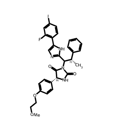 COCCOc1ccc([C@H]2NC(=O)N(C(c3ncc(-c4ccc(I)cc4F)[nH]3)[C@@H](C)c3ccccc3)C2=O)cc1